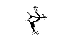 CC1CC(Br)(Br)CS1